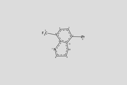 CC(C)c1ccc(C(F)(F)F)c2ncccc12